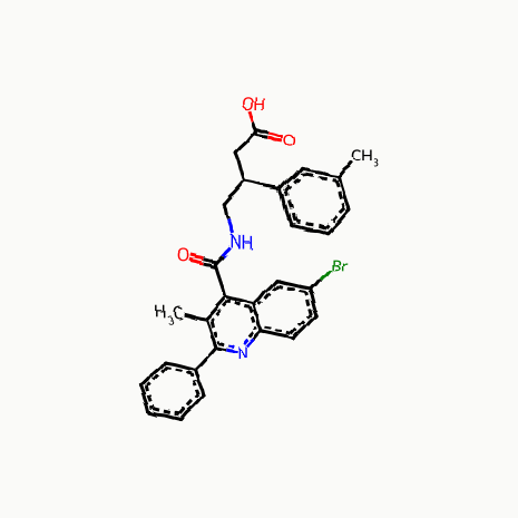 Cc1cccc(C(CNC(=O)c2c(C)c(-c3ccccc3)nc3ccc(Br)cc23)CC(=O)O)c1